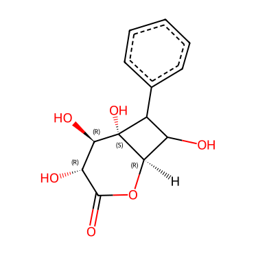 O=C1O[C@@H]2C(O)C(c3ccccc3)[C@]2(O)[C@H](O)[C@H]1O